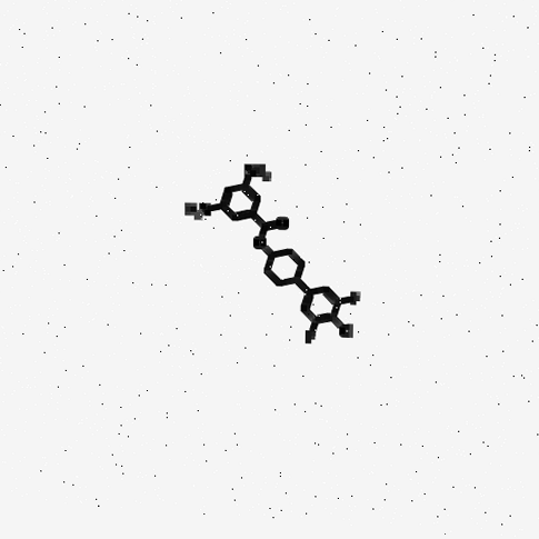 Nc1cc(N)cc(C(=O)OC2CCC(c3cc(F)c(Cl)c(F)c3)CC2)c1